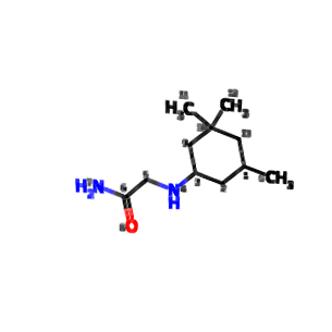 CC1CC(NCC(N)=O)CC(C)(C)C1